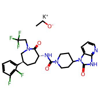 CC[O-].O=C(N[C@@H]1CC[C@@H](c2cccc(F)c2F)CN(CC(F)(F)F)C1=O)N1CCC(n2c(=O)[nH]c3ncccc32)CC1.[K+]